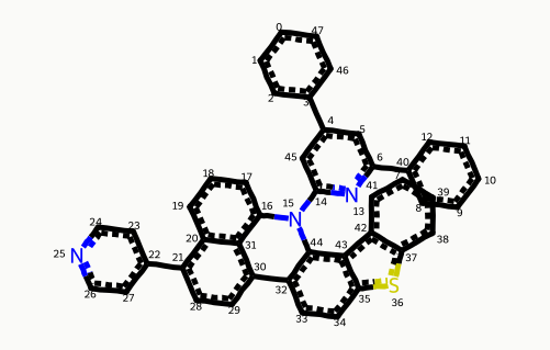 c1ccc(-c2cc(-c3ccccc3)nc(N3c4cccc5c(-c6ccncc6)ccc(c45)-c4ccc5sc6ccccc6c5c43)c2)cc1